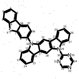 c1ccc2c(c1)sc1cc(-n3c4ccccc4c4cc5c(cc43)c3ccccc3n5-c3ncncn3)ccc12